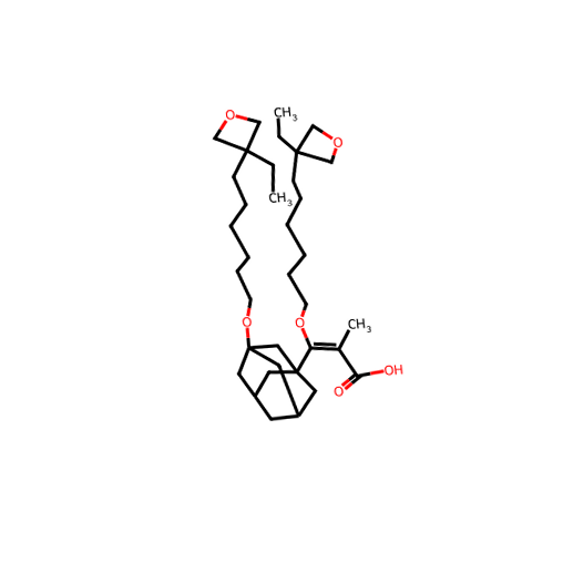 CCC1(CCCCCCOC(=C(C)C(=O)O)C23CC4CC(CC(OCCCCCCC5(CC)COC5)(C4)C2)C3)COC1